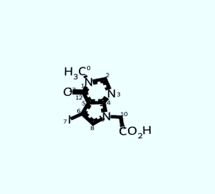 Cn1cnc2c(c(I)cn2CC(=O)O)c1=O